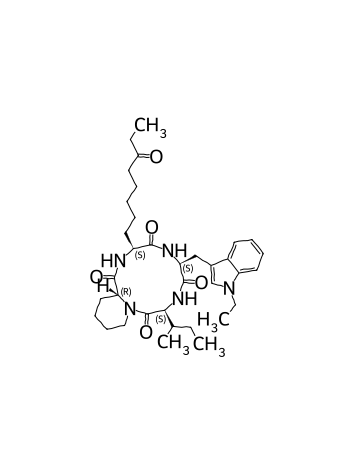 CCC(=O)CCCCC[C@@H]1NC(=O)[C@H]2CCCCN2C(=O)[C@H](C(C)CC)NC(=O)[C@H](Cc2cn(CC)c3ccccc23)NC1=O